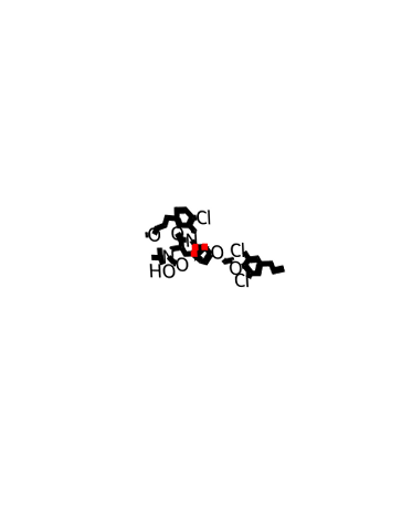 C=CCc1cc(Cl)c(OCCOc2ccc(CC(CN(C(=O)O)C(C)(C)C)C(=O)N(Cc3cc(CCCOC)ccc3Cl)C3CC3)cc2)c(Cl)c1